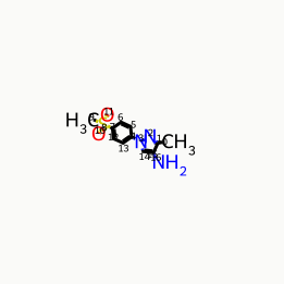 Cc1nn(-c2ccc(S(C)(=O)=O)cc2)cc1N